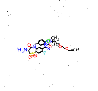 C#CCOCCOCCCC(C)(C)Nc1nc(-c2cc3c(cc2F)S(=O)(=O)C[C@H](N)C(=O)N3Cc2ccc(Cl)cc2)no1